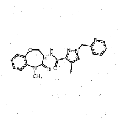 CN1C(=O)[C@@H](NC(=O)c2nn(Cc3ccccn3)cc2F)COc2ccccc21